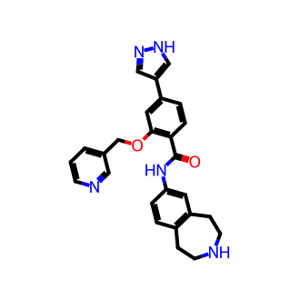 O=C(Nc1ccc2c(c1)CCNCC2)c1ccc(-c2cn[nH]c2)cc1OCc1cccnc1